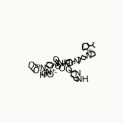 CC(C)c1ccccc1[C@@H]1CCCN1C1CC2(C1)CN(c1ccc(C(=O)NS(=O)(=O)c3ccc(NC[C@H]4COCCO4)c([N+](=O)[O-])c3)c(Oc3cnc4[nH]ccc4c3)c1)C2